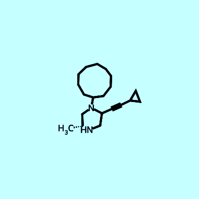 C[C@@H]1CN(C2CCCCCCCCC2)C(C#CC2CC2)CN1